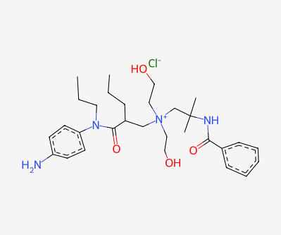 CCCC(C[N+](CCO)(CCO)CC(C)(C)NC(=O)c1ccccc1)C(=O)N(CCC)c1ccc(N)cc1.[Cl-]